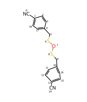 N#Cc1ccc(CSOSCc2ccc(C#N)cc2)cc1